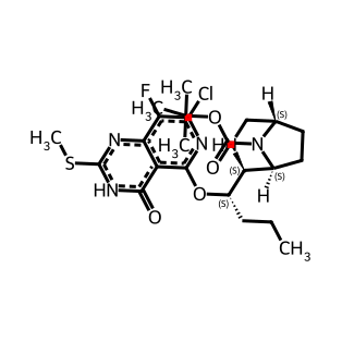 CCC[C@H](Oc1nc(Cl)c(F)c2nc(SC)[nH]c(=O)c12)[C@H]1NC[C@@H]2CC[C@@H]1N2C(=O)OC(C)(C)C